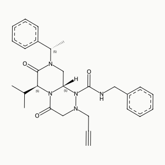 C#CCN1CC(=O)N2[C@@H](C(C)C)C(=O)N([C@@H](C)c3ccccc3)C[C@@H]2N1C(=O)NCc1ccccc1